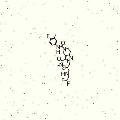 Cc1cc(NC(=O)N2Cc3c(nn4c3C(=O)N(C)O[C@H](CNCC(F)F)C4)C[C@H]2C)ccc1F